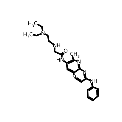 CCN(CC)CCNCC(=O)Nc1cc2ncc(Nc3ccccc3)nc2nc1C